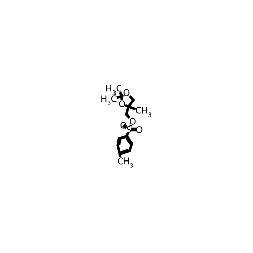 Cc1ccc(S(=O)(=O)OCC2(C)COC(C)(C)O2)cc1